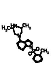 Cc1ccccc1S(=O)(=O)n1ccc2c(N3CC(C)NC(C)C3)cccc21